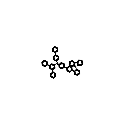 c1ccc(-c2ccc(N(c3ccc(-c4ccc(-c5ccccc5-n5c6ccccc6c6ccccc65)cc4)cc3)c3cc(-c4ccccc4)cc(-c4ccccc4)c3)cc2)cc1